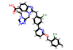 CCn1cnnc1Cn1c(Cc2ccc(-c3cccc(OCc4ccc(C)cc4F)n3)cc2F)nc2ccc(C(=O)O)cc21